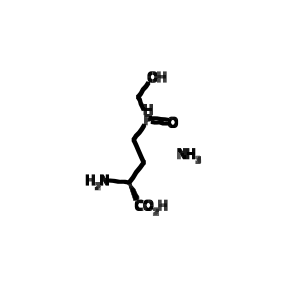 N.N[C@@H](CC[PH](=O)CO)C(=O)O